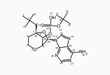 CC(C)(C)C[C@]12CCOC(C1OP(O)(=S)OC(C)(C)C)[C@H](n1cnc3c(N)ncnc31)O2